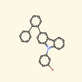 Brc1cccc(-n2c3ccccc3c3cc(-c4ccccc4-c4ccccc4)ccc32)c1